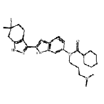 CN(C)CCCN(C(=O)C1CCCCC1)c1ccc2cc(-c3n[nH]c4c3CCC(C)(C)C4)[nH]c2c1